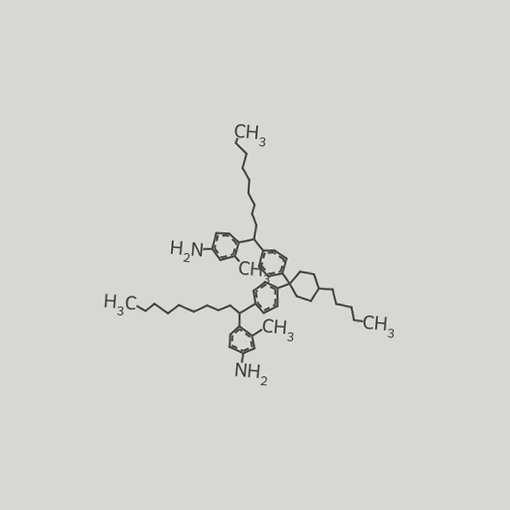 CCCCCCCCCC(c1ccc(C2(c3ccc(C(CCCCCCCCC)c4ccc(N)cc4C)cc3)CCC(CCCCC)CC2)cc1)c1ccc(N)cc1C